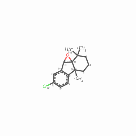 CC1(C)CCC[C@]2(C)c3ccc(Cl)cc3C3OC312